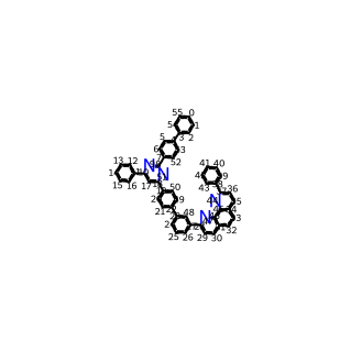 c1ccc(-c2ccc(-c3nc(-c4ccccc4)cc(-c4ccc(-c5cccc(-c6ccc7ccc8ccc(-c9ccccc9)nc8c7n6)c5)cc4)n3)cc2)cc1